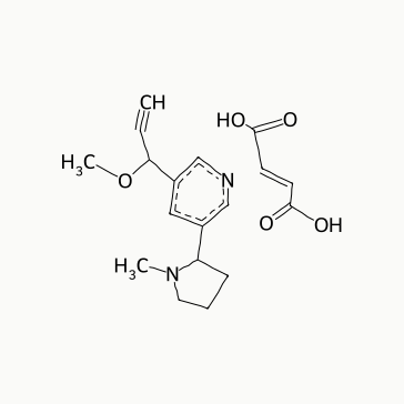 C#CC(OC)c1cncc(C2CCCN2C)c1.O=C(O)C=CC(=O)O